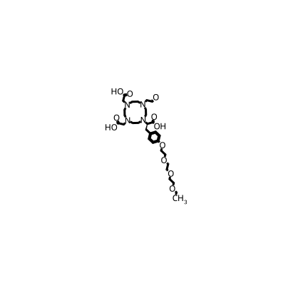 CCOCCOCCOCCOc1ccc(C[C@H](C(=O)O)N2CCN(CC=O)CCN(CC(=O)O)CCN(CC(=O)O)CC2)cc1